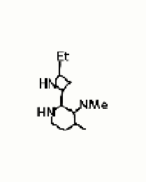 CCC1CC(C2NCCC(C)C2NC)N1